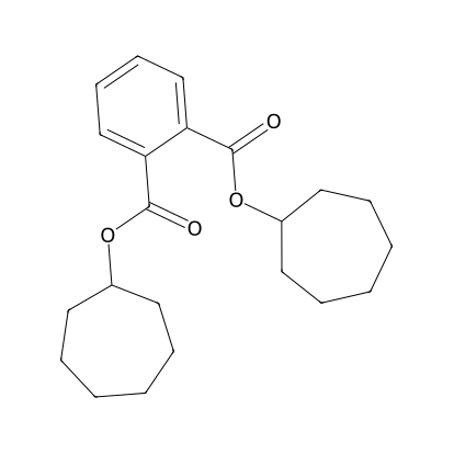 O=C(OC1CCCCCC1)c1ccccc1C(=O)OC1CCCCCC1